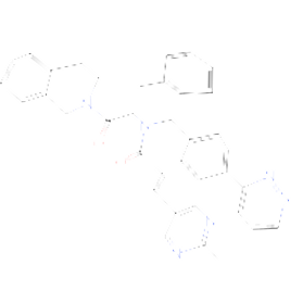 Cc1ncc(C=CC(=O)N(Cc2ccc(-c3cccnn3)cc2)[C@@H](Cc2ccccc2)C(=O)N2CCc3ccccc3C2)cn1